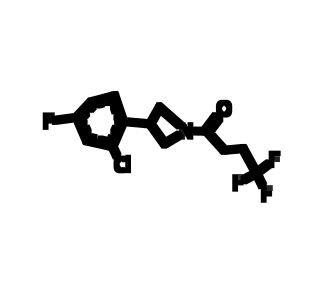 O=C(CCC(F)(F)F)N1CC(c2ccc(F)cc2Cl)C1